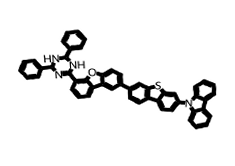 c1ccc(C2N=C(c3cccc4c3oc3ccc(-c5ccc6c(c5)sc5cc(-n7c8ccccc8c8ccccc87)ccc56)cc34)NC(c3ccccc3)N2)cc1